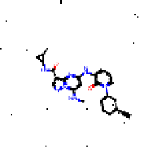 C#CC1CCCC(n2cccc(Nc3cc(NC)n4ncc(C(=O)NC5CC5C)c4n3)c2=O)C1